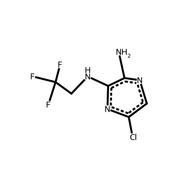 Nc1ncc(Cl)nc1NCC(F)(F)F